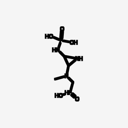 CN(C[PH](=O)O)C1NC1NP(=O)(O)O